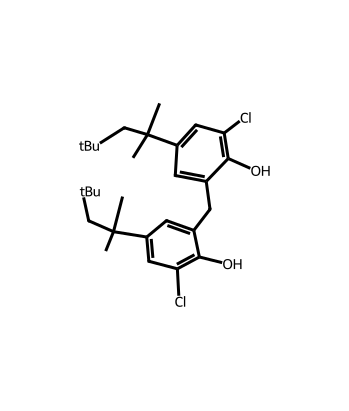 CC(C)(C)CC(C)(C)c1cc(Cl)c(O)c(Cc2cc(C(C)(C)CC(C)(C)C)cc(Cl)c2O)c1